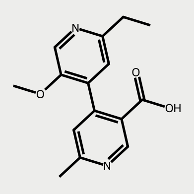 CCc1cc(-c2cc(C)ncc2C(=O)O)c(OC)cn1